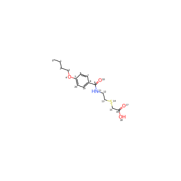 CCCCOc1ccc(C(=O)NCCSCC(=O)O)cc1